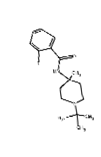 CC1(NC(=O)c2ccccc2F)CCN(C(C)(C)C)CC1